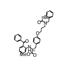 CCCCC(=O)N(CCCOc1ccc(C[C@H](Nc2ccccc2C(=O)c2ccccc2)C(=O)OC)cc1)Cc1ccccc1